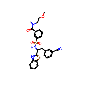 COCCN(C)C(=O)c1cccc(S(=O)(=O)NC(Cc2cccc(C#N)c2)c2nc3ccccc3s2)c1